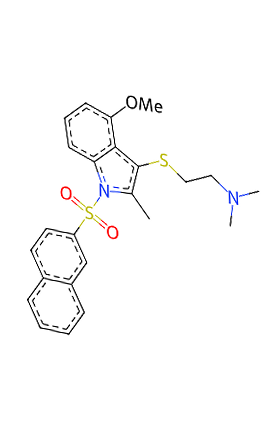 COc1cccc2c1c(SCCN(C)C)c(C)n2S(=O)(=O)c1ccc2ccccc2c1